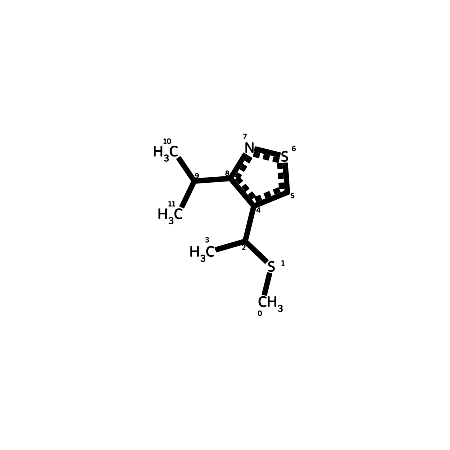 CSC(C)c1csnc1C(C)C